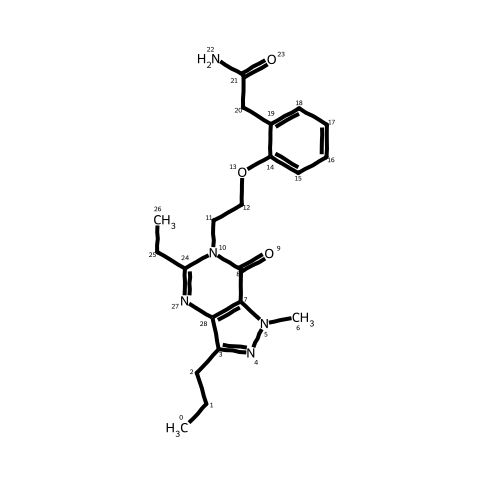 CCCc1nn(C)c2c(=O)n(CCOc3ccccc3CC(N)=O)c(CC)nc12